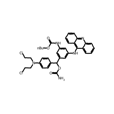 CCCCOC(=O)Nc1cc(Nc2c3ccccc3nc3ccccc23)cc(C(OC(N)=O)c2ccc(N(CCCl)CCCl)cc2)c1